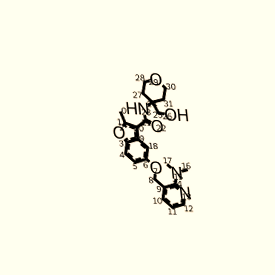 Cc1oc2ccc(OCc3cccnc3N(C)C)cc2c1C(=O)NC1(CO)CCOCC1